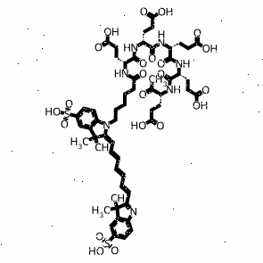 CC(=O)[C@@H](CCC(=O)O)NC(=O)[C@@H](CCC(=O)O)NC(=O)[C@@H](CCC(=O)O)NC(=O)[C@@H](CCC(=O)O)NC(=O)[C@@H](CCC(=O)O)NC(=O)CCCCCN1/C(=C/C=C/C=C/C=C/C2=Nc3ccc(S(=O)(=O)O)cc3C2(C)C)C(C)(C)c2cc(S(=O)(=O)O)ccc21